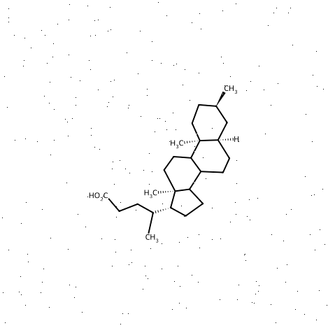 CC(CCC(=O)O)[C@H]1CCC2C3CC[C@@H]4C[C@H](C)CC[C@]4(C)C3CC[C@@]21C